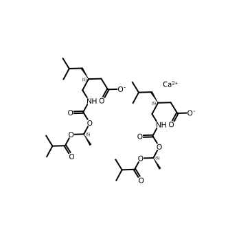 CC(C)C[C@H](CNC(=O)O[C@@H](C)OC(=O)C(C)C)CC(=O)[O-].CC(C)C[C@H](CNC(=O)O[C@@H](C)OC(=O)C(C)C)CC(=O)[O-].[Ca+2]